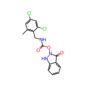 Cc1cc(Cl)cc(Cl)c1CNC(=O)On1[nH]c2ccccc2c1=O